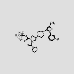 Cc1cc(N2CCN([C@H]3C[C@@H](C(=O)N4CCSC4)N(C(=O)OC(C)(C)C)C3)CC2)n(-c2cccc(F)c2)n1